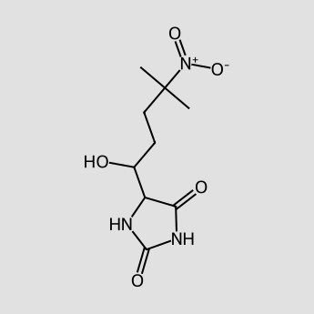 CC(C)(CCC(O)C1NC(=O)NC1=O)[N+](=O)[O-]